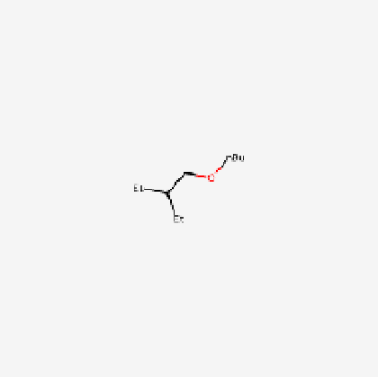 [CH2]CCCOCC(CC)CC